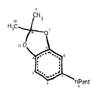 CCCCCc1ccc2c(c1)OC(C)(C)O2